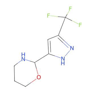 FC(F)(F)c1cc(C2NCCCO2)[nH]n1